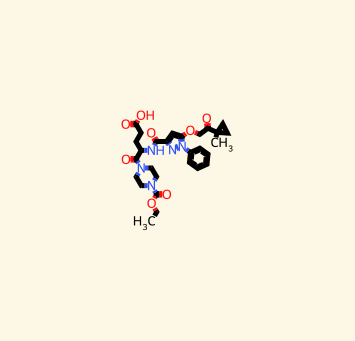 CCOC(=O)N1CCN(C(=O)C(CCC(=O)O)NC(=O)c2cc(OCC(=O)C3(C)CC3)n(-c3ccccc3)n2)CC1